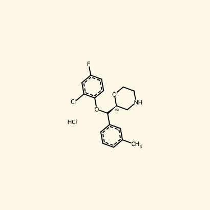 Cc1cccc(C(Oc2ccc(F)cc2Cl)[C@@H]2CNCCO2)c1.Cl